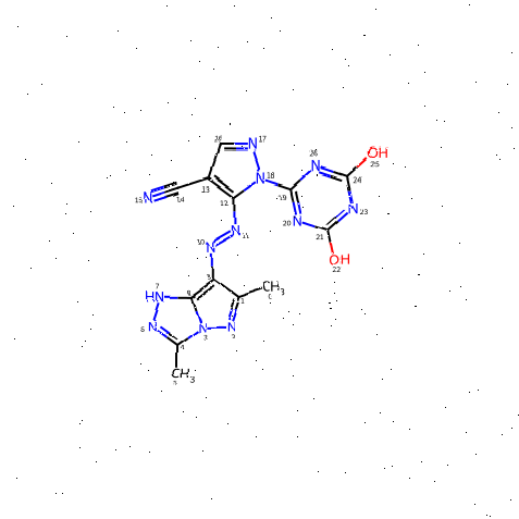 Cc1nn2c(C)n[nH]c2c1/N=N/c1c(C#N)cnn1-c1nc(O)nc(O)n1